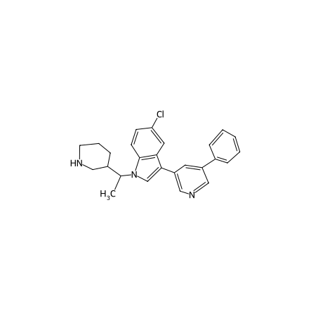 CC(C1CCCNC1)n1cc(-c2cncc(-c3ccccc3)c2)c2cc(Cl)ccc21